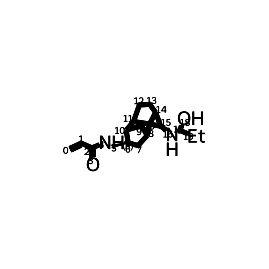 C=CC(=O)NC[C@@H]1CC2CC1C1CCC3C(NC(O)CC)C213